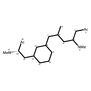 CNC(CC(C)=O)CC(C)CC1CCCC(C[C@H](NC)C(C)=O)C1